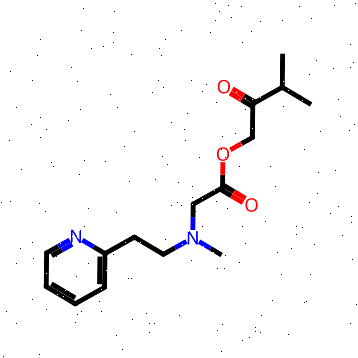 CC(C)C(=O)COC(=O)CN(C)CCc1ccccn1